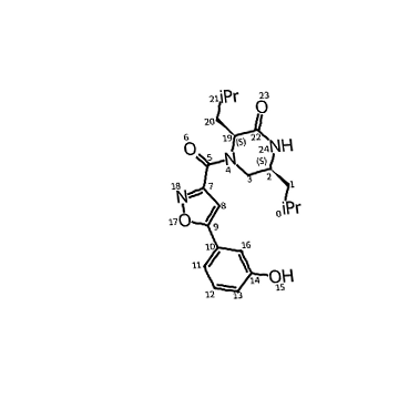 CC(C)C[C@H]1CN(C(=O)c2cc(-c3cccc(O)c3)on2)[C@@H](CC(C)C)C(=O)N1